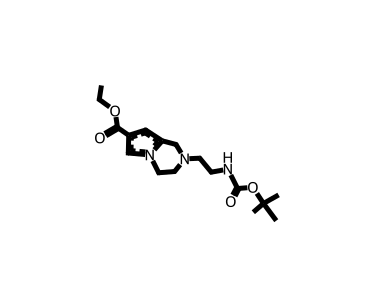 CCOC(=O)c1cc2n(c1)CCN(CCNC(=O)OC(C)(C)C)C2